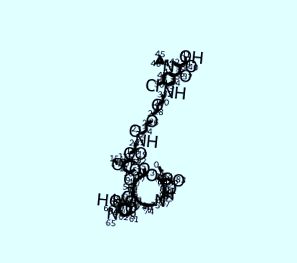 CC[C@H]1OC(=O)[C@H](C)[C@@H](OC2C[C@@](C)(OC)[C@@H](OC(=O)CNC(=O)CCOCCOCCNc3cc4c(=O)c(C(=O)O)cn(C5CC5)c4cc3Cl)[C@H](C)O2)[C@H](C)[C@@H](O[C@@H]2O[C@H](C)C[C@H](N(C)C)[C@H]2O)[C@](C)(O)C[C@@H](C)CN(C)[C@H](C)[C@@H]2OC(=O)O[C@]12C